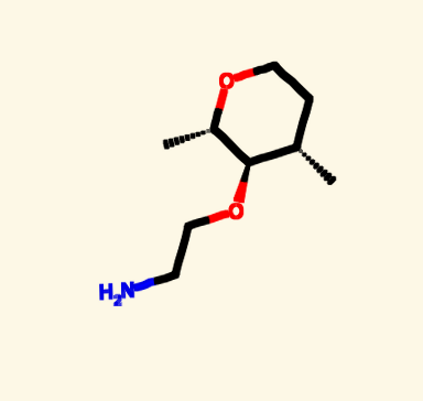 C[C@@H]1OCC[C@H](C)[C@H]1OCCN